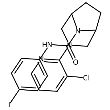 O=C(Nc1ccc(I)cc1)N1C2CCC1CN(c1ncccc1Cl)C2